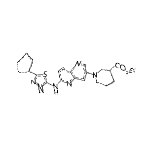 CCOC(=O)C1CCCN(c2cnc3ccc(Nc4nnc(C5CCCC5)s4)nc3c2)C1